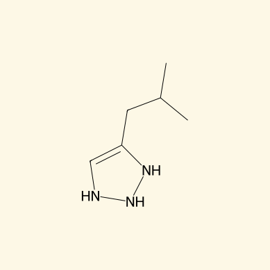 CC(C)CC1=CNNN1